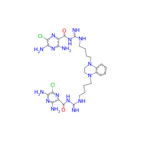 N=C(NCCCCN1CCN(CCCCNC(=N)NC(=O)c2nc(Cl)c(N)nc2N)c2ccccc21)NC(=O)c1nc(Cl)c(N)nc1N